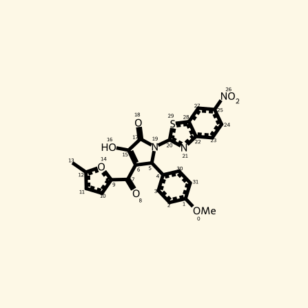 COc1ccc(C2C(C(=O)c3ccc(C)o3)=C(O)C(=O)N2c2nc3ccc([N+](=O)[O-])cc3s2)cc1